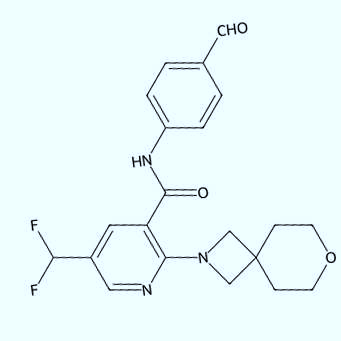 O=Cc1ccc(NC(=O)c2cc(C(F)F)cnc2N2CC3(CCOCC3)C2)cc1